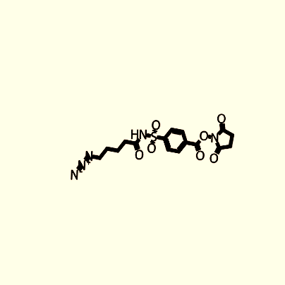 [N-]=[N+]=NCCCCC(=O)NS(=O)(=O)c1ccc(C(=O)ON2C(=O)CCC2=O)cc1